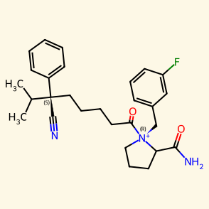 CC(C)[C@@](C#N)(CCCCC(=O)[N@@+]1(Cc2cccc(F)c2)CCCC1C(N)=O)c1ccccc1